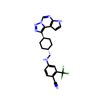 N#Cc1ccc(NC[C@H]2CC[C@H](c3nnn4cnc5[nH]ccc5c34)CC2)cc1C(F)(F)F